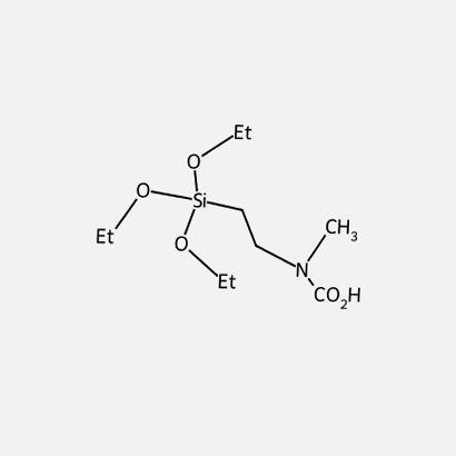 CCO[Si](CCN(C)C(=O)O)(OCC)OCC